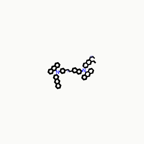 C=CC1=CC2C=C(N(c3ccc4cc(/C=C/c5ccc(N(c6ccc7cc8ccccc8cc7c6)c6c7ccccc7cc7ccccc67)cc5)ccc4c3)C3c4ccccc4C=C4C=CC=CC43)C=CC2C=C1/C=C\C